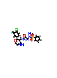 O=C(CNS(=O)(=O)c1ccccc1)NCC1CNCCO[C@H]1c1ccc(Cl)c(F)c1